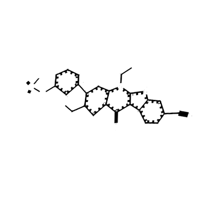 CCc1cc2c(=O)c3c4ccc(C#N)cc4[nH]c3n(CC)c2cc1-c1cccc(OS(=O)(=O)F)c1